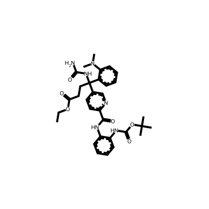 CCOC(=O)CCC(NC(N)=O)(c1ccc(C(=O)Nc2ccccc2NC(=O)OC(C)(C)C)nc1)c1ccccc1N(C)C